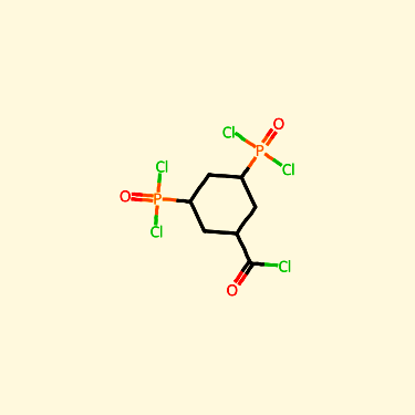 O=C(Cl)C1CC(P(=O)(Cl)Cl)CC(P(=O)(Cl)Cl)C1